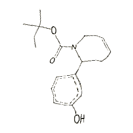 CC(C)(C)OC(=O)N1CC=CCC1c1cccc(O)c1